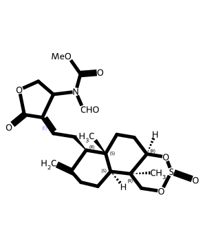 C=C1CC[C@@H]2[C@]3(C)COS(=O)O[C@@H]3CC[C@@]2(C)[C@@H]1C/C=C1/C(=O)OCC1N(C=O)C(=O)OC